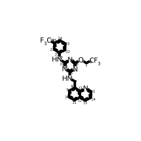 FC(F)(F)COc1nc(NCc2cccc3cccnc23)nc(Nc2cccc(C(F)(F)F)c2)n1